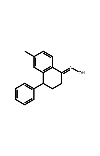 Cc1ccc2c(c1)C(c1ccccc1)CC/C2=N\O